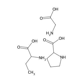 CCC(N)C(=O)O.NCC(=O)O.O=C(O)C1CCCN1